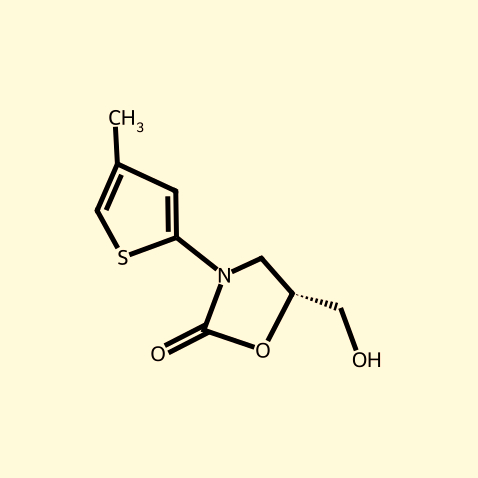 Cc1csc(N2C[C@H](CO)OC2=O)c1